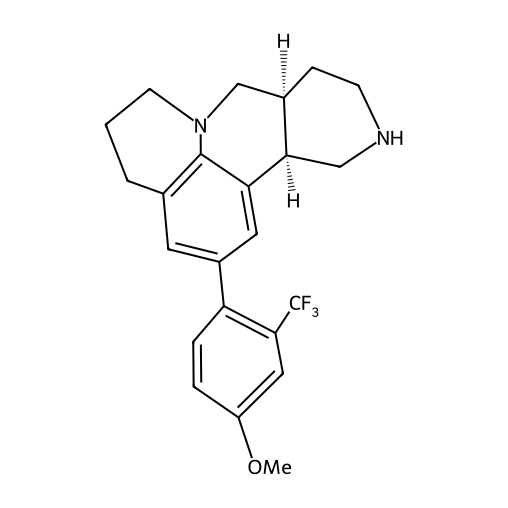 COc1ccc(-c2cc3c4c(c2)[C@@H]2CNCC[C@@H]2CN4CCC3)c(C(F)(F)F)c1